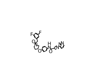 O=C(Nc1ccc(O[C@@H]2CCN(C(=O)Cc3cc(F)cc(F)c3)C2)cc1)C1CN(c2cccnn2)C1